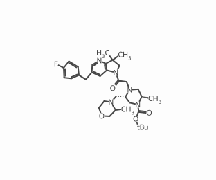 CC1COCCN1C[C@H]1CN(C(=O)OC(C)(C)C)[C@H](C)CN1CC(=O)N1CC(C)(C)c2ncc(Cc3ccc(F)cc3)cc21